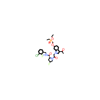 CCOP(=O)(CC)COc1ccc2c(C(C)=O)cn(CC(=O)N3C[C@H](F)C[C@H]3C(=O)NCc3cccc(Cl)c3F)c2c1